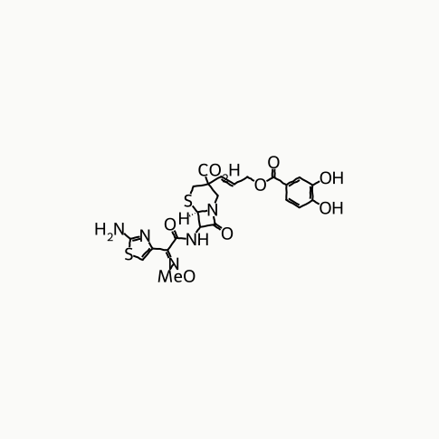 CON=C(C(=O)NC1C(=O)N2CC(C=CCOC(=O)c3ccc(O)c(O)c3)(C(=O)O)CS[C@H]12)c1csc(N)n1